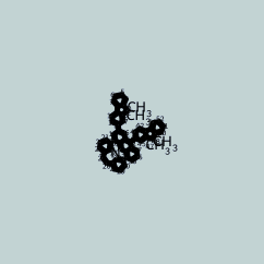 CC1(C)c2ccccc2-c2ccc(-c3ccc4c(N5c6ccccc6C=Cc6ccccc65)c5ccccc5c(-c5ccc6c(c5)C(C)(C)c5ccccc5-6)c4c3)cc21